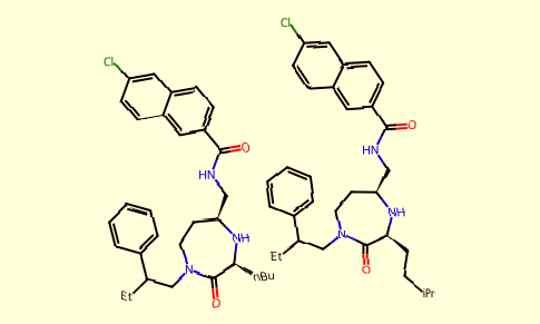 CCC(CN1CC[C@@H](CNC(=O)c2ccc3cc(Cl)ccc3c2)N[C@@H](CCC(C)C)C1=O)c1ccccc1.CCCC[C@@H]1N[C@H](CNC(=O)c2ccc3cc(Cl)ccc3c2)CCN(CC(CC)c2ccccc2)C1=O